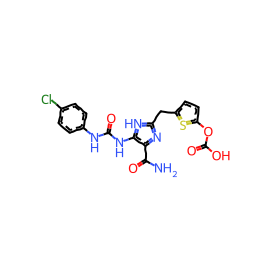 NC(=O)c1nc(Cc2ccc(OC(=O)O)s2)[nH]c1NC(=O)Nc1ccc(Cl)cc1